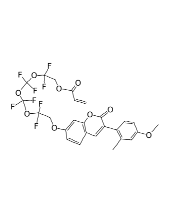 C=CC(=O)OCC(F)(F)OC(F)(F)OC(F)(F)OC(F)(F)COc1ccc2cc(-c3ccc(OC)cc3C)c(=O)oc2c1